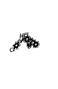 Cl.Cl.Clc1ccc(OCCN2CCN(CC(Cc3ccccc3)C3=COCO3)CC2)cc1